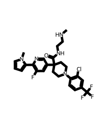 CNCCNC(=O)C1(c2cnc(-c3cccn3C)c(F)c2)CCN(c2ccc(C(F)(F)F)cc2Cl)CC1